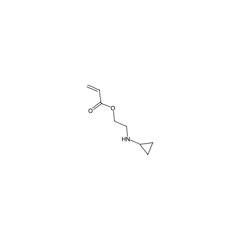 C=CC(=O)OCCNC1CC1